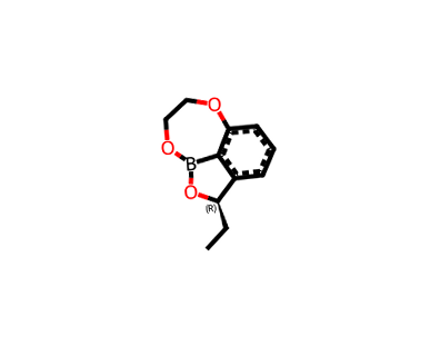 CC[C@H]1OB2OCCOc3cccc1c32